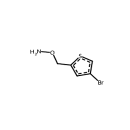 NOCc1cc(Br)cs1